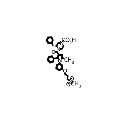 Cc1cc(C(=O)N2CCN(C(=O)O)C[C@H]2Cc2ccccc2)c(-c2ccccc2)n1-c1cccc(OCCCS(C)(=O)=O)c1